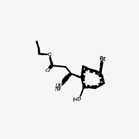 CCOC(=O)CC(=N)c1cc(Br)ccc1O